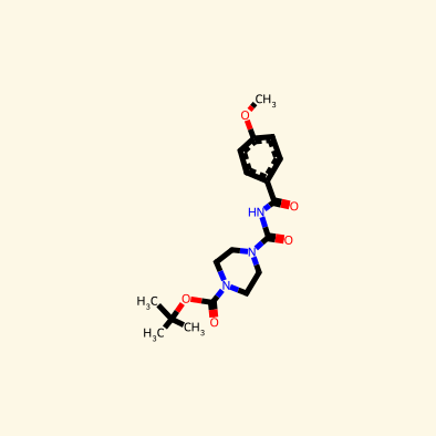 COc1ccc(C(=O)NC(=O)N2CCN(C(=O)OC(C)(C)C)CC2)cc1